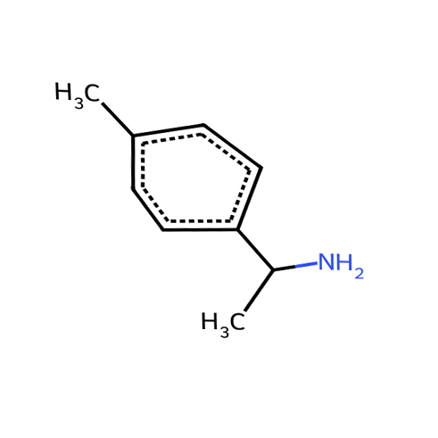 Cc1ccc(C(C)N)cc1